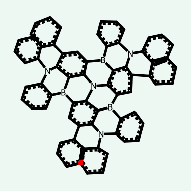 c1ccc(-c2cc3c4c5c2N(c2ccccc2)c2ccccc2B5c2cc(-c5ccccc5)c5c6c2N4c2c(cc(-c4ccccc4)c4c2B3c2ccccc2N4c2ccccc2)B6c2ccccc2N5c2ccccc2)cc1